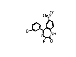 O=C1Nc2ccc([N+](=O)[O-])cc2C(c2cccc(Br)c2)=NC1F